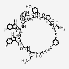 C[C@@]12CCCN1C(=O)[C@H](Cc1ccc(O)cc1)NC(=O)[C@@H](Cc1cnc[nH]1)NC(=O)[C@H](CC(=O)O)NC(=O)[C@H](Cc1c[nH]c3ccc(F)cc13)NC(=O)[C@H](Cc1c[nH]c3ccc(F)cc13)NC(=O)CNC(=O)[C@@H](CCCN)NC(=O)CCSCc1cccc(c1)CSC[C@@H](C(N)=O)NC2=O